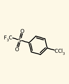 O=S(=O)(c1ccc(C(Cl)(Cl)Cl)cc1)C(F)(F)F